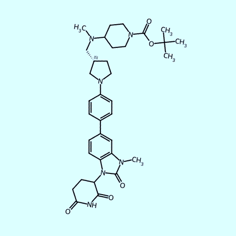 CN(C[C@@H]1CCN(c2ccc(-c3ccc4c(c3)n(C)c(=O)n4C3CCC(=O)NC3=O)cc2)C1)C1CCN(C(=O)OC(C)(C)C)CC1